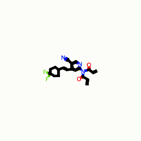 C=CC(=O)N(C(=O)C=C)c1cc(C=CC2CCC(F)(F)CC2)c(C#N)cn1